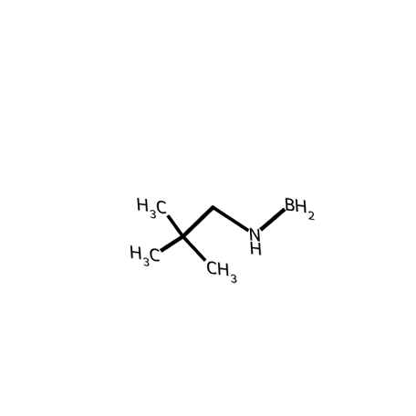 BNCC(C)(C)C